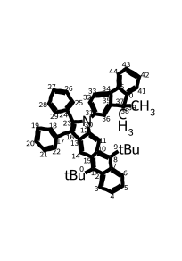 CC(C)(C)c1c2ccccc2c(C(C)(C)C)c2cc3c(cc12)c(-c1ccccc1)c(-c1ccccc1)n3-c1ccc2c(c1)C(C)(C)c1ccccc1-2